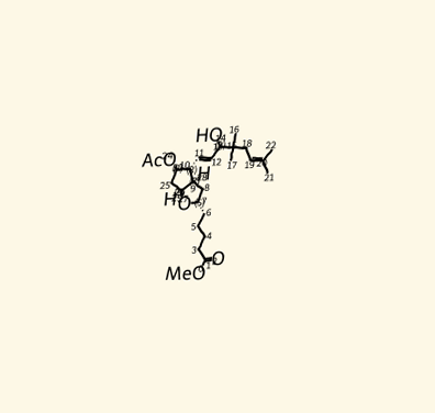 COC(=O)CCCC[C@H]1C[C@@H]2[C@@H](C=C[C@@H](O)C(C)(C)CC=C(C)C)[C@H](OC(C)=O)C[C@@H]2O1